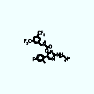 Cc1cc(F)ccc1-c1cnc(NCCN(C)C)nc1OC(=O)N(C)Cc1cc(C(F)(F)F)cc(C(F)(F)F)c1